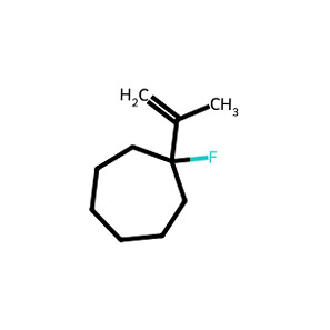 C=C(C)C1(F)CCCCCC1